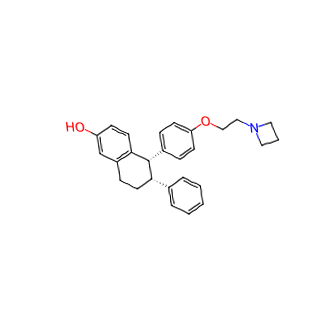 Oc1ccc2c(c1)CC[C@@H](c1ccccc1)[C@H]2c1ccc(OCCN2CCC2)cc1